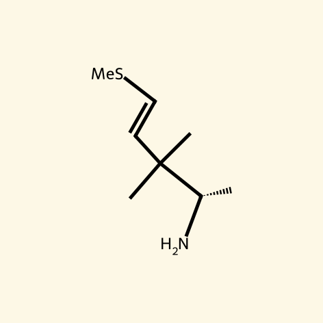 CS/C=C/C(C)(C)[C@H](C)N